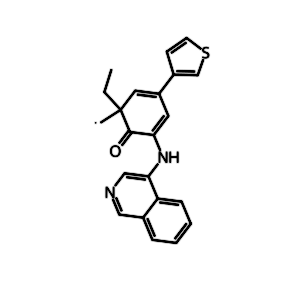 [CH2]C1(CC)C=C(c2ccsc2)C=C(Nc2cncc3ccccc23)C1=O